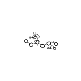 c1ccc(-c2cccc(-c3nc(-c4cccc(-c5ccc6c(c5)C5(c7ccccc7O6)c6ccccc6-c6ccccc65)c4)nc(C45CC6C[C@@H]7C[C@H](CCC674)C5)n3)c2)cc1